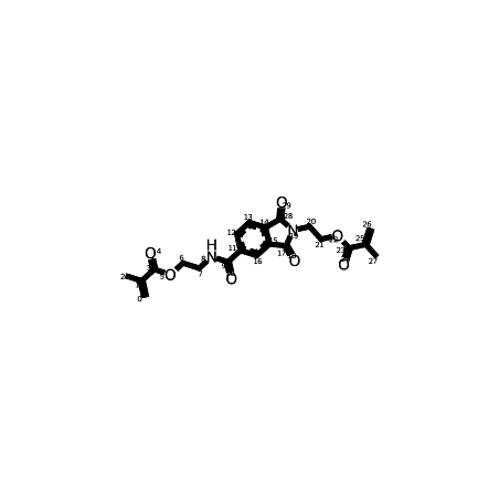 C=C(C)C(=O)OCCNC(=O)c1ccc2c(c1)C(=O)N(CCOC(=O)C(=C)C)C2=O